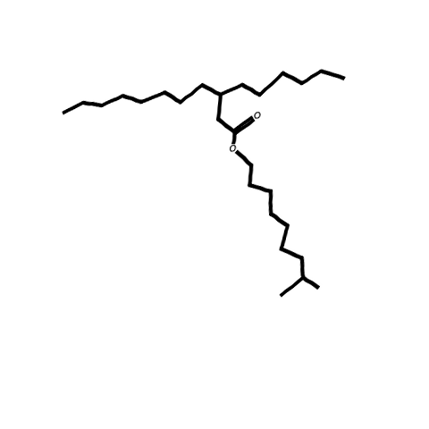 CCCCCCCCC(CCCCCC)CC(=O)OCCCCCCCC(C)C